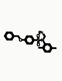 Cc1ccc(C)c(N(CC(C)C)S(=O)(=O)c2ccc(OCc3ccccc3)cc2)c1